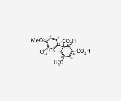 COc1ccc(C2(C(=O)O)C=C(C)C=C(C(=O)O)C2)cc1Cl